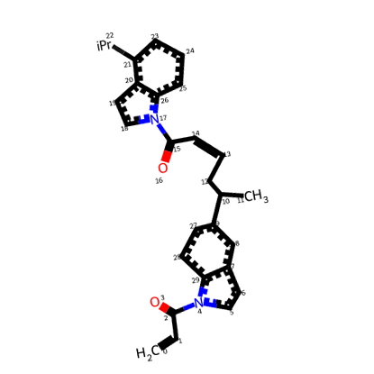 C=CC(=O)n1ccc2cc(C(C)C/C=C\C(=O)n3ccc4c(C(C)C)cccc43)ccc21